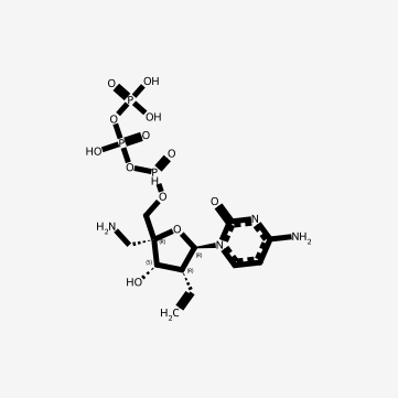 C=C[C@H]1[C@H](n2ccc(N)nc2=O)O[C@](CN)(CO[PH](=O)OP(=O)(O)OP(=O)(O)O)[C@H]1O